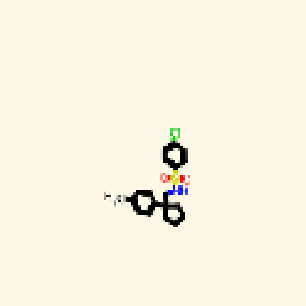 Cc1ccc(C2(CNS(=O)(=O)c3ccc(Cl)cc3)CCCC2)cc1